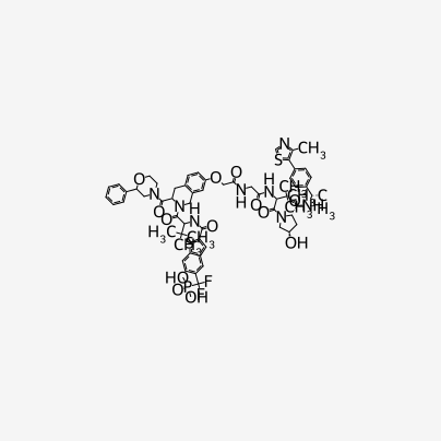 Cc1ncsc1-c1ccc([C@H](C)NC(=O)[C@@H]2C[C@@H](O)CN2C(=O)C(NC(=O)CNC(=O)COc2ccc3c(c2)CN(C(=O)C(NC(=O)c2cc4cc(C(F)(F)P(=O)(O)O)ccc4s2)C(C)(C)C)C(C(=O)N2CCOC(c4ccccc4)C2)C3)C(C)(C)C)cc1